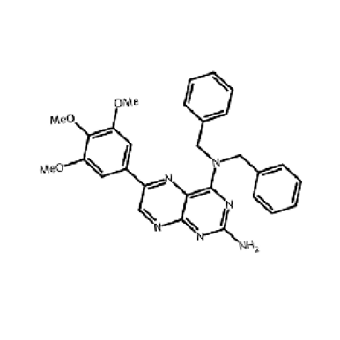 COc1cc(-c2cnc3nc(N)nc(N(Cc4ccccc4)Cc4ccccc4)c3n2)cc(OC)c1OC